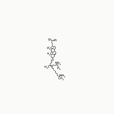 C=C(CCSSC1CCC2(C)C(=CCC3C2CCC2(C)C(CCCC(CC)C(C)C)CCC32)C1)N(CCCCCCCC(C)N)CCC(C)N